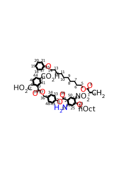 C=CC(=O)OCCCCCCCCCCOc1ccccc1.CCCCCCCCOc1cc(N)c(C(=O)Oc2ccc(COC(=O)c3cc(C(=O)O)ccc3C(=O)O)cc2)cc1[N+](=O)[O-]